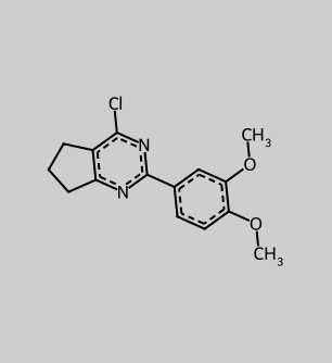 COc1ccc(-c2nc(Cl)c3c(n2)CCC3)cc1OC